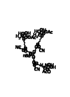 CCCCOCC(COCCCOP(OCCC#N)OCCCCCCO[C@@H]1OC(COC(C)=O)[C@H](O)C(O)[C@@H]1C)(COCCCOP(OCCC#N)OCCCCCCO[C@@H]1OC(COC(C)=O)[C@H](O)C(O)[C@@H]1N)COCCCOP(OCCC#N)OCCCCCCO[C@@H]1OC(COC(C)=O)[C@H](O)C(O)[C@@H]1N